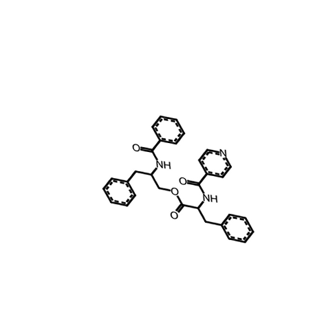 O=C(NC(COC(=O)C(Cc1ccccc1)NC(=O)c1ccncc1)Cc1ccccc1)c1ccccc1